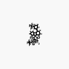 CN1C(=O)C(c2ccccc2)(c2cccc(-c3cccc(C(F)(F)F)c3)c2)NC1(N)OC(=O)C(F)(F)F